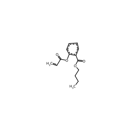 C=CC(=O)Oc1ccccc1C(=O)OCCCC